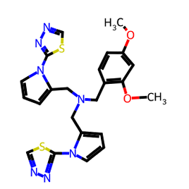 COc1ccc(CN(Cc2cccn2-c2nncs2)Cc2cccn2-c2nncs2)c(OC)c1